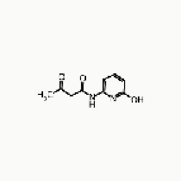 CC(=O)CC(=O)Nc1cccc(O)n1